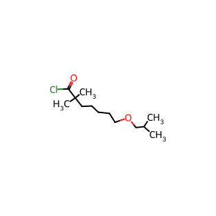 CC(C)COCCCCCC(C)(C)C(=O)Cl